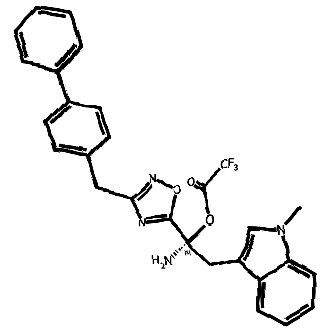 Cn1cc(C[C@](N)(OC(=O)C(F)(F)F)c2nc(Cc3ccc(-c4ccccc4)cc3)no2)c2ccccc21